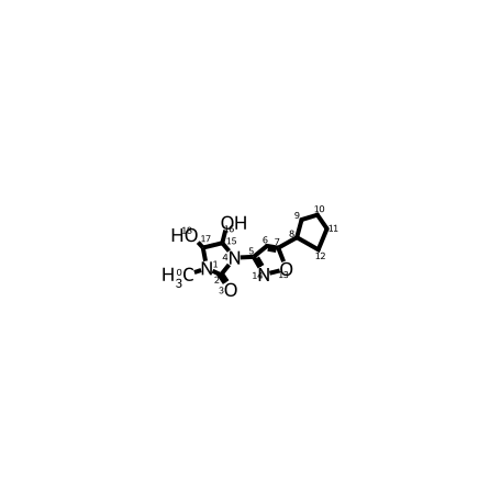 CN1C(=O)N(c2cc(C3CCCC3)on2)C(O)C1O